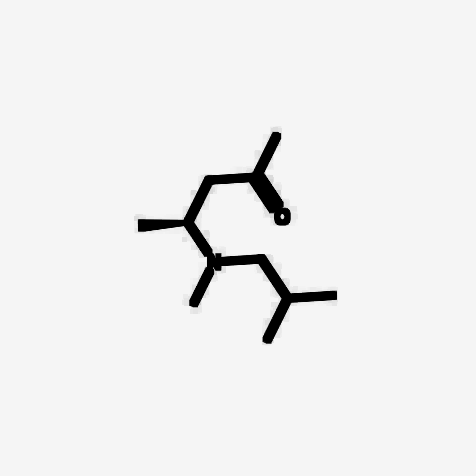 CC(=O)C[C@H](C)N(C)CC(C)C